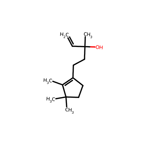 C=CC(C)(O)CCC1=C(C)C(C)(C)CC1